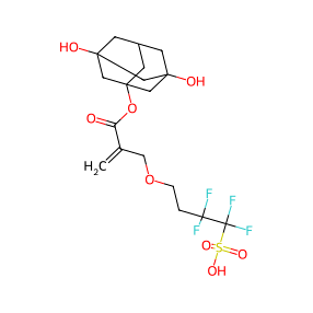 C=C(COCCC(F)(F)C(F)(F)S(=O)(=O)O)C(=O)OC12CC3CC(O)(CC(O)(C3)C1)C2